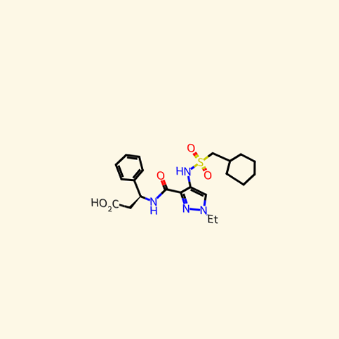 CCn1cc(NS(=O)(=O)CC2CCCCC2)c(C(=O)N[C@@H](CC(=O)O)c2ccccc2)n1